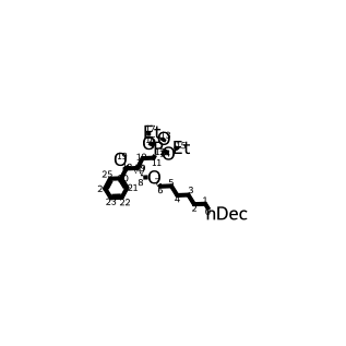 CCCCCCCCCCCCCCCCOC[C@@H](CCP(=O)(OCC)OCC)C(=O)c1ccccc1